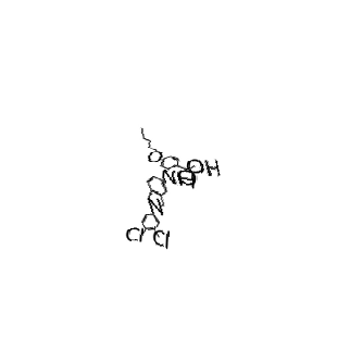 CCCCCOc1ccc(C(=O)O)c(Nc2ccc3c(c2)CN(c2ccc(Cl)c(Cl)c2)C3)c1